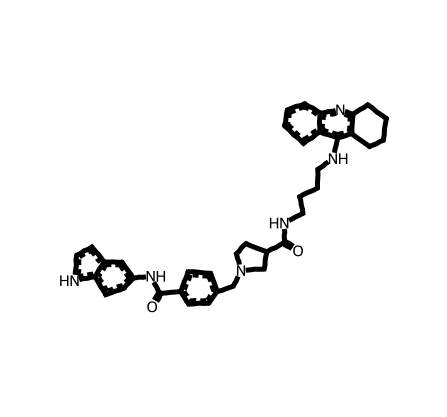 O=C(Nc1ccc2[nH]ccc2c1)c1ccc(CN2CCC(C(=O)NCCCCNc3c4c(nc5ccccc35)CCCC4)C2)cc1